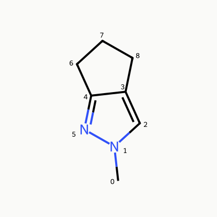 Cn1cc2c(n1)CCC2